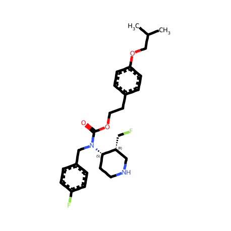 CC(C)COc1ccc(CCOC(=O)N(Cc2ccc(F)cc2)[C@H]2CCNC[C@H]2CF)cc1